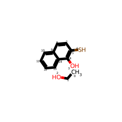 CCO.Oc1c(S)ccc2ccccc12